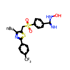 CCCCc1nc(-c2ccc(C(F)(F)F)cc2)sc1CS(=O)(=O)c1ccc(C(=N)NO)cc1